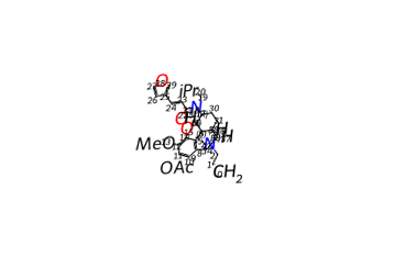 C=CCN1CC[C@]23c4c5c(OC(C)=O)cc(OC)c4O[C@@H]2[C@H](N(CC(C)C)C(=O)C=Cc2ccoc2)CC[C@H]3[C@H]1C5